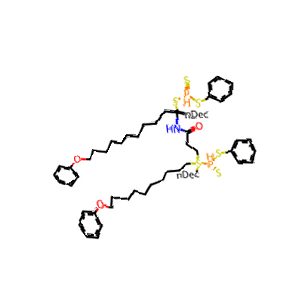 CCCCCCCCCCC(CCCCCCCCCCOc1ccccc1)(NC(=O)CCS(CCCCCCCCCC)(CCCCCCCCCCOc1ccccc1)[PH](=S)Sc1ccccc1)S[PH](=S)Sc1ccccc1